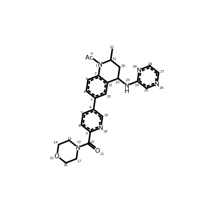 CC(=O)N1c2ccc(-c3ccc(C(=O)N4CCOCC4)nc3)cc2C(Nc2cnccn2)CC1C